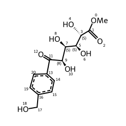 COC(=O)[C@@H](O)[C@@H](O)[C@H](O)[C@@H](O)C(=O)c1ccc(CO)cc1